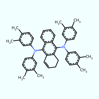 Cc1ccc(N(c2ccc(C)c(C)c2)c2c3c(c(N(c4ccc(C)c(C)c4)c4ccc(C)c(C)c4)c4ccccc24)CCC=C3)cc1C